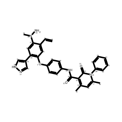 C=Cc1cc(Oc2ccc(NC(=O)c3c(C)cc(C)n(-c4ccccc4)c3=O)cc2)c(-c2cn[nH]c2)cc1N(C)N